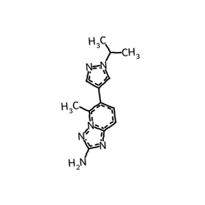 Cc1c(-c2cnn(C(C)C)c2)ccc2nc(N)nn12